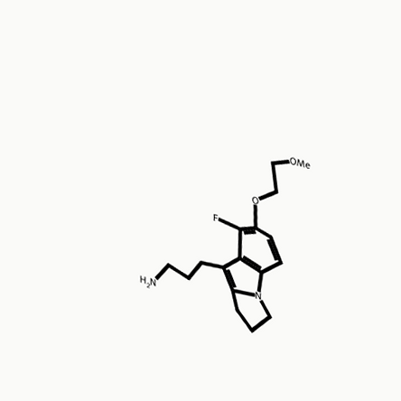 COCCOc1ccc2c(c1F)c(CCCN)c1n2CCC1